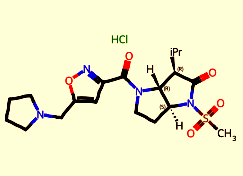 CC(C)[C@H]1C(=O)N(S(C)(=O)=O)[C@H]2CCN(C(=O)c3cc(CN4CCCC4)on3)[C@H]12.Cl